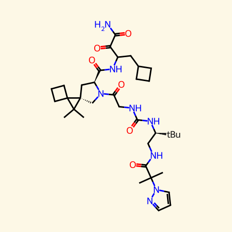 CC(C)(C)[C@@H](CNC(=O)C(C)(C)n1cccn1)NC(=O)NCC(=O)N1C[C@]2(C[C@H]1C(=O)NC(CC1CCC1)C(=O)C(N)=O)C(C)(C)C21CCC1